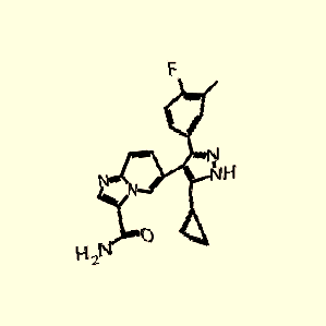 Cc1cc(-c2n[nH]c(C3CC3)c2-c2ccc3ncc(C(N)=O)n3c2)ccc1F